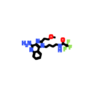 COCCc1nc2c(N)nc3ccccc3c2n1CCCCNC(=O)C(F)(F)F